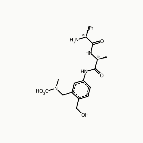 CC(C)[C@H](N)C(=O)N[C@@H](C)C(=O)Nc1ccc(CO)c(CN(C)C(=O)O)c1